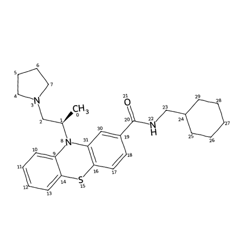 C[C@H](CN1CCCC1)N1c2ccccc2Sc2ccc(C(=O)NCC3CCCCC3)cc21